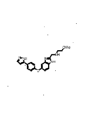 COCCNCc1nc2cc(Oc3ccc(-c4ccn[nH]4)cc3)ccc2[nH]1